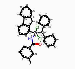 Cc1cccc(C(=O)[NH][Zr]([Cl])([Cl])([c]2cccc3c2Cc2ccccc2-3)[SiH](c2ccccc2)c2ccccc2)c1